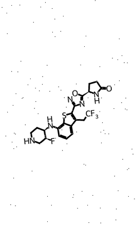 O=C1CC[C@H](c2nc(-c3sc4c(N[C@@H]5CCNC[C@@H]5F)cccc4c3CC(F)(F)F)no2)N1